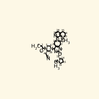 C=CC(=O)N1CCN(c2nc(OC[C@@H]3CCCN3C)nc3c2CCN(c2nccc4c2N(C)CCC4)CC3)C[C@@H]1CC#N